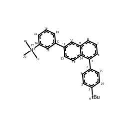 CC(C)(C)c1ccc(-c2cccc3cc(-c4cccc([N+](C)(C)C)c4)ccc23)cc1